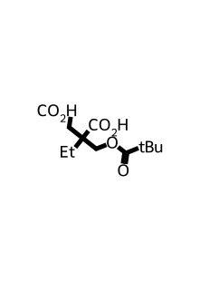 CCC(COC(=O)C(C)(C)C)(CC(=O)O)C(=O)O